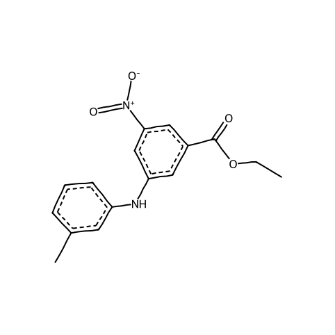 CCOC(=O)c1cc(Nc2cccc(C)c2)cc([N+](=O)[O-])c1